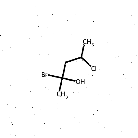 CC(Cl)CC(C)(O)Br